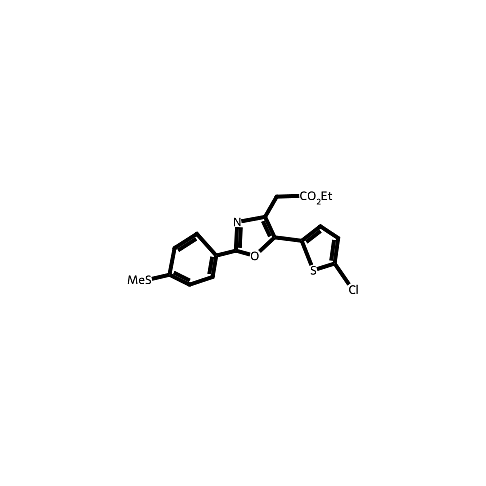 CCOC(=O)Cc1nc(-c2ccc(SC)cc2)oc1-c1ccc(Cl)s1